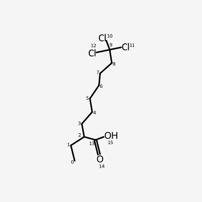 CCC(CCCCCCC(Cl)(Cl)Cl)C(=O)O